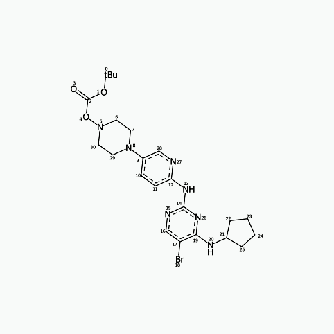 CC(C)(C)OC(=O)ON1CCN(c2ccc(Nc3ncc(Br)c(NC4CCCC4)n3)nc2)CC1